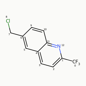 FC(F)(F)c1ccc2cc(CCl)ccc2n1